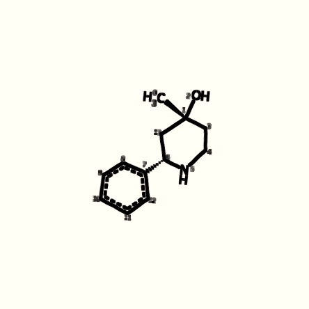 C[C@@]1(O)CCN[C@H](c2ccccc2)C1